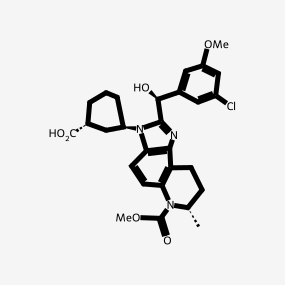 COC(=O)N1c2ccc3c(nc([C@@H](O)c4cc(Cl)cc(OC)c4)n3[C@@H]3CCC[C@@H](C(=O)O)C3)c2CC[C@@H]1C